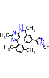 Cc1ccc(C)c(-c2cc(NC(C)c3cccc(-c4cnn(C)c4)c3)nc(C)n2)c1